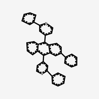 c1ccc(-c2ccc3c(-c4ccnc(-c5ccccc5)c4)c4ccccc4c(-c4ccnc(-c5ccccc5)c4)c3c2)cc1